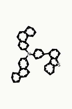 c1ccc2c(c1)ccc1cc(N(c3ccc(-c4cccc5sc6ccccc6c45)cc3)c3ccc4ccc5ccccc5c4c3)ccc12